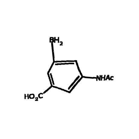 Bc1cc(NC(C)=O)cc(C(=O)O)c1